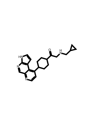 O=C(CNCC1CC1)C1CCC(c2ccnc3cnc4[nH]ccc4c23)CC1